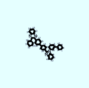 c1ccc(-c2cccc(-n3c(-c4ccc(-c5ccc(-c6nc7ccccc7nc6-c6ccccc6)cc5)cc4)nc4ccccc43)c2)cc1